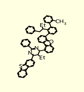 CCC(Cc1ccccc1)c1c(-c2ccccc2C)cccc1-c1cccc2c1oc1cccc(C3N=C(c4ccccc4)N=C(c4ccc5c(c4)sc4ccccc45)C3CC)c12